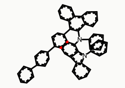 c1ccc(-c2ccc(-c3ccc(-c4c(N(c5ccccc5)c5cccc6c7ccccc7n(-c7ccccc7)c56)c5ccccc5c5ccccc45)cc3)cc2)cc1